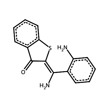 NC(=C1Sc2ccccc2C1=O)c1ccccc1N